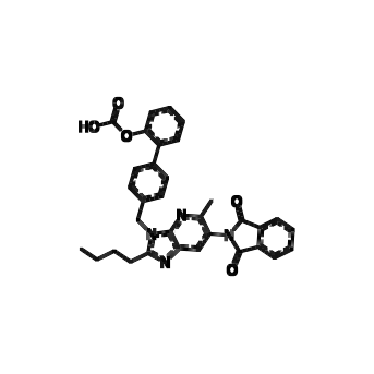 CCCCc1nc2cc(N3C(=O)c4ccccc4C3=O)c(C)nc2n1Cc1ccc(-c2ccccc2OC(=O)O)cc1